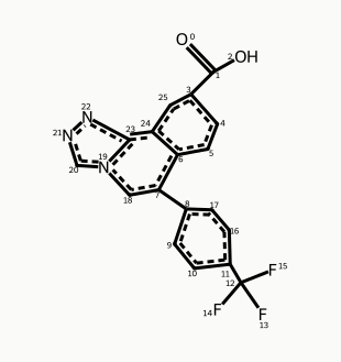 O=C(O)c1ccc2c(-c3ccc(C(F)(F)F)cc3)cn3cnnc3c2c1